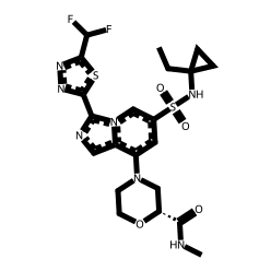 CCC1(NS(=O)(=O)c2cc(N3CCO[C@@H](C(=O)NC)C3)c3cnc(-c4nnc(C(F)F)s4)n3c2)CC1